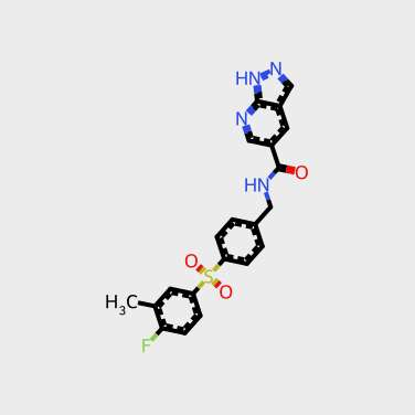 Cc1cc(S(=O)(=O)c2ccc(CNC(=O)c3cnc4[nH]ncc4c3)cc2)ccc1F